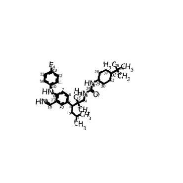 CC(C)CC(c1ccc(Nc2ccc(F)cc2)c(C=N)c1)C(C)(C)CNC(=O)NC1CCC(C(C)(C)C)CC1